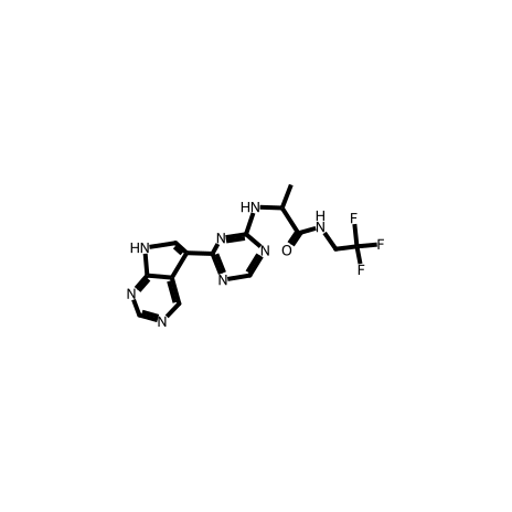 CC(Nc1ncnc(-c2c[nH]c3ncncc23)n1)C(=O)NCC(F)(F)F